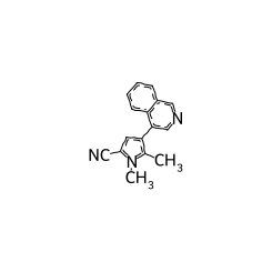 Cc1c(-c2cncc3ccccc23)cc(C#N)n1C